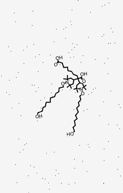 CC1(C)CC(C(CCCCCCCC(=O)O)(C(=O)O)C2CC(C)(C)N(OCCCCCCCCCCCCO)C(C)(C)C2)CC(C)(C)N1OCCCCCCCCCCCCO